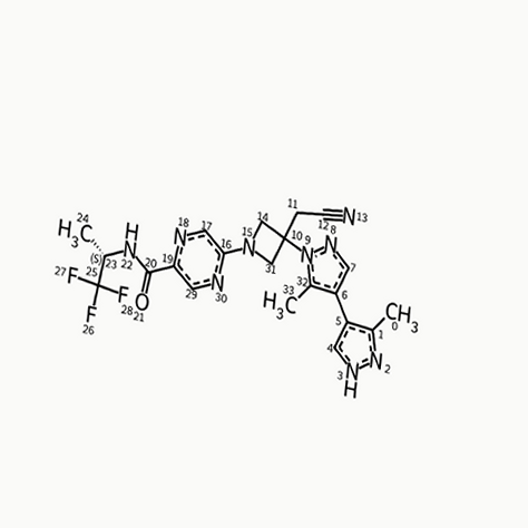 Cc1n[nH]cc1-c1cnn(C2(CC#N)CN(c3cnc(C(=O)N[C@@H](C)C(F)(F)F)cn3)C2)c1C